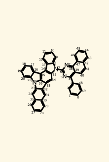 c1ccc(-c2nc(-n3c4ccccc4c4c5c6ccccc6n6c7cc8ccccc8cc7c(cc43)c56)nc3c2ccc2ccccc23)cc1